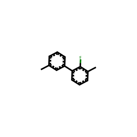 Cc1cccc(-c2cccc(C)c2F)c1